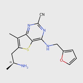 Cc1c(C[C@H](C)N)sc2c(NCc3ccco3)nc(C#N)nc12